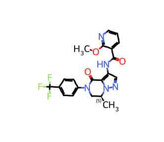 COc1ncccc1C(=O)Nc1cnn2c1C(=O)N(c1ccc(C(F)(F)F)cc1)C[C@@H]2C